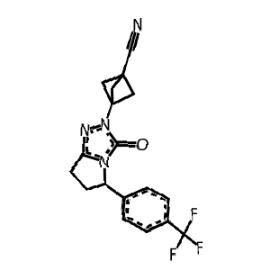 N#CC12CC(n3nc4n(c3=O)C(c3ccc(C(F)(F)F)cc3)CC4)(C1)C2